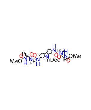 CCCCCCCCCCn1c2cc(NC(=O)[C@@H]3CCCN3C(=O)C(NC(=O)OC)C(C)C)ccc2c2ccc(NC(=O)[C@@H]3CCCN3C(=O)[C@H](NC(=O)OC)C(C)C)cc21